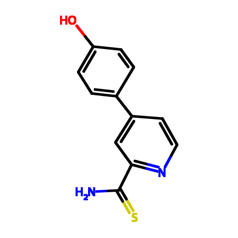 NC(=S)c1cc(-c2ccc(O)cc2)ccn1